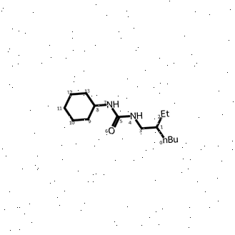 CCCCC(CC)CNC(=O)NC1CCCCC1